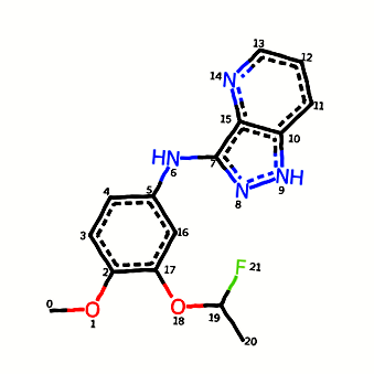 COc1ccc(Nc2n[nH]c3cccnc23)cc1OC(C)F